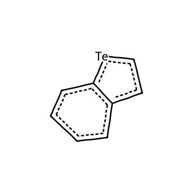 c1ccc2[te]ccc2c1